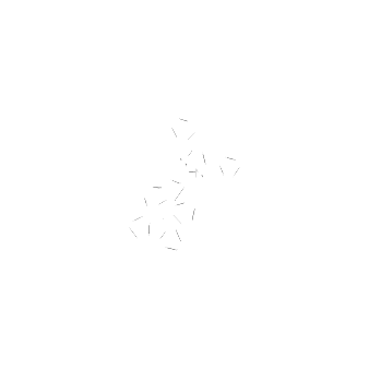 c1ccc(-c2cc(-c3ccccc3)nc(-c3ccc4c5c(ccc4c3)-c3ccccc3C5(c3ccccc3)c3ccccc3)n2)cc1